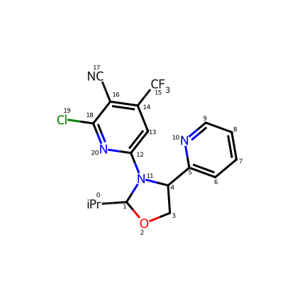 CC(C)C1OCC(c2ccccn2)N1c1cc(C(F)(F)F)c(C#N)c(Cl)n1